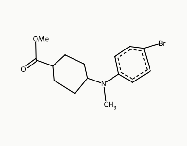 COC(=O)C1CCC(N(C)c2ccc(Br)cc2)CC1